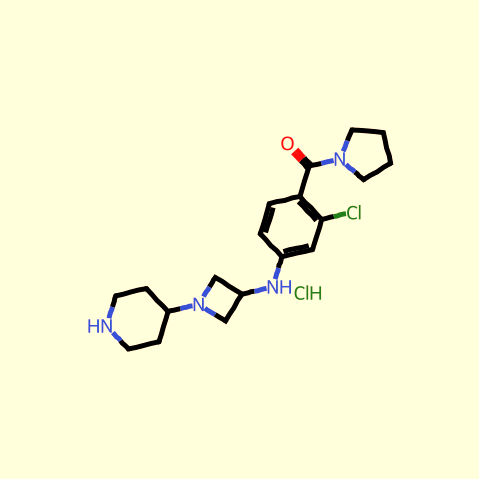 Cl.O=C(c1ccc(NC2CN(C3CCNCC3)C2)cc1Cl)N1CCCC1